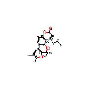 C=C(C)[C@H](C)OC1=Cc2ccc3oc(=O)cc(CCC)c3c2OC1(C)C